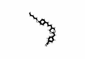 CCCCCOc1ccc(CCCC2COC(Cc3ccc(C#N)cc3)OC2)cc1